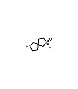 O=S1(=O)CCC2(CCNC2)C1